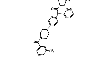 O=C(c1cccc(C(F)(F)F)c1)N1CCC(c2ccc(N(C(=O)[C@H]3CCNC3)c3cccnn3)cc2)CC1